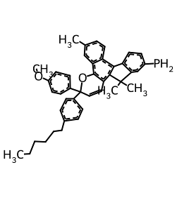 CCCCCCc1ccc(C2(c3ccc(OC)cc3)C=Cc3c4c(c5ccc(C)cc5c3O2)-c2ccc(P)cc2C4(C)C)cc1